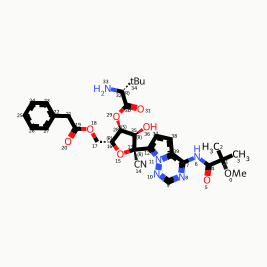 COC(C)(C)C(=O)Nc1ncnn2c([C@]3(C#N)O[C@H](COC(=O)Cc4ccccc4)[C@@H](OC(=O)[C@H](N)C(C)(C)C)[C@H]3O)ccc12